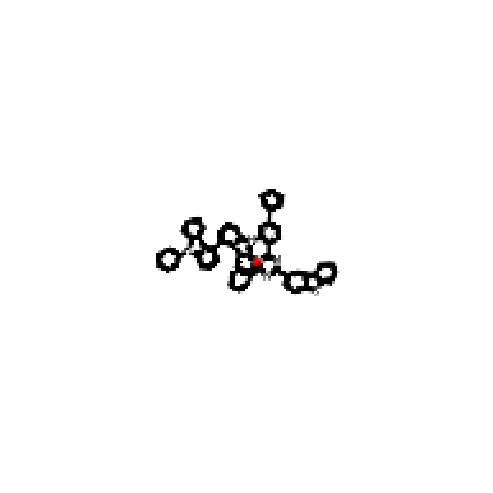 C1=CCC(c2nc(-c3ccc4sc5ccccc5c4c3)nc(-c3ccc(-c4ccccc4)cc3-n3c4ccccc4c4c(-c5cccc6c5c5ccccc5n6-c5ccccc5)cccc43)n2)C=C1